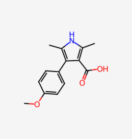 COc1ccc(-c2c(C)[nH]c(C)c2C(=O)O)cc1